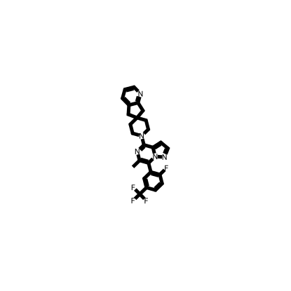 Cc1nc(N2CCC3(CC2)Cc2cccnc2C3)c2ccnn2c1-c1cc(C(F)(F)F)ccc1F